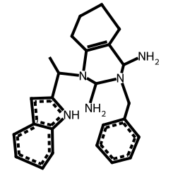 CC(c1cc2ccccc2[nH]1)N1C2=C(CCCC2)C(N)N(Cc2ccccc2)C1N